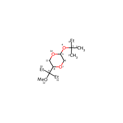 CCC(C)(C)OC1COC(C(CC)(CC)OC)CO1